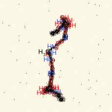 C[C@H](CCCCNC(=O)CCOCCOCCn1cc(COCCOCCS[C@]2(C(=O)O)C[C@H](O)[C@@H](NC(=O)CO)[C@H]([C@H](O)[C@H](O)CNC(=O)Cc3ccc(-c4ccccc4)cc3)O2)nn1)NC(=O)CCCNC(=O)CCOCCOCCn1cc(COCCOCCS[C@]2(C(=O)O)C[C@H](O)[C@@H](NC(=O)CO)[C@H]([C@H](O)[C@H](O)CNC(=O)Cc3ccc(-c4ccccc4)cc3)O2)nn1